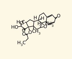 CCC(=O)O[C@@]1(C(=O)C(O)Cl)[C@@H](C)C[C@H]2[C@@H]3CCC4=CC(=O)C=C[C@]4(C)[C@@]34O[C@H]4C[C@@]21C